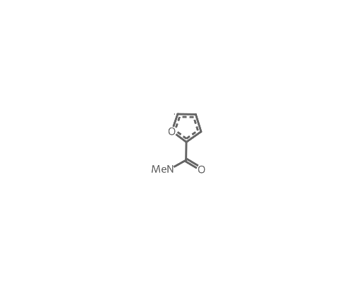 CNC(=O)c1cc[c]o1